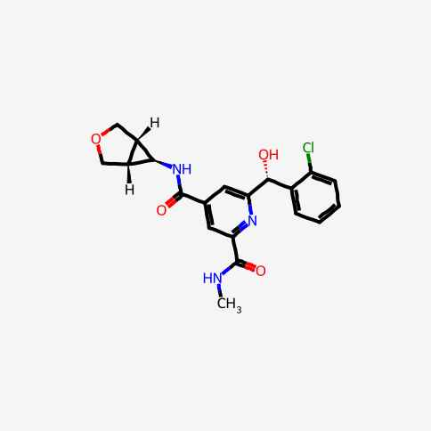 CNC(=O)c1cc(C(=O)N[C@H]2[C@@H]3COC[C@@H]32)cc([C@H](O)c2ccccc2Cl)n1